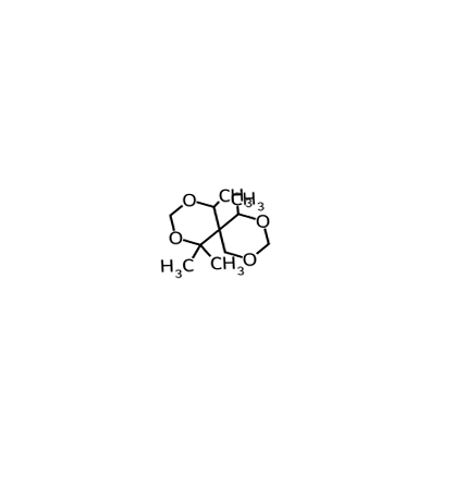 CC1OCOCC12C(C)OCOC2(C)C